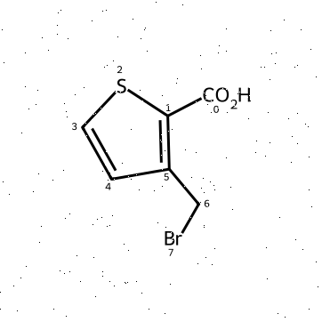 O=C(O)c1sccc1CBr